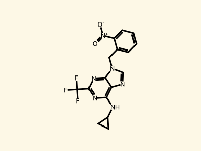 O=[N+]([O-])c1ccccc1Cn1cnc2c(NC3CC3)nc(C(F)(F)F)nc21